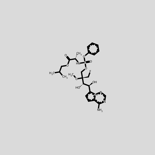 CO[C@](CF)(COP(=O)(N[C@@H](C)C(=O)OCC(C)C)Oc1ccccc1)[C@@H](O)[C@@H](O)c1ccc2c(N)ncnn12